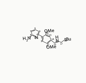 COc1cc(-c2cccc(N)n2)c(OC)cc1CNCC(C)(C)C